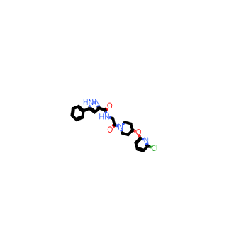 O=C(NCC(=O)N1CCC(Oc2cccc(Cl)n2)CC1)c1cc(-c2ccccc2)[nH]n1